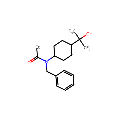 CCC(=O)N(Cc1ccccc1)C1CCC(C(O)(C(F)(F)F)C(F)(F)F)CC1